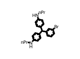 CCCNc1ccc(C(c2ccc(NCCC)cc2)c2cccc(Br)c2)cc1